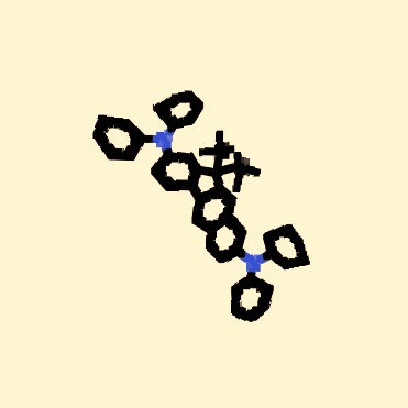 C[Si](C)(C)C1([Si](C)(C)C)c2cc(N(c3ccccc3)c3ccccc3)ccc2-c2cc3ccc(N(c4ccccc4)c4ccccc4)cc3cc21